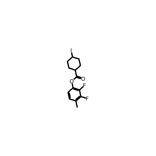 Cc1ccc(OC(=O)C2CCC(I)CC2)c(F)c1F